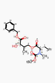 CC(C)C[C@@H](C(=O)OCC(C)[C@H](O)C(=O)OCc1ccccc1)N(C)C(=O)OC(C)(C)C